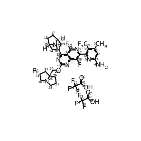 Cc1cc(N)nc(-c2nc(F)c3c(N4C[C@H]5CC[C@@H](C4)N5)nc(OC[C@@]45CCCN4C[C@H](F)C5)nc3c2F)c1C(F)(F)F.O=C(O)C(F)(F)F.O=C(O)C(F)(F)F